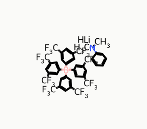 CN(C)c1ccccc1.FC(F)(F)c1cc([B-](c2cc(C(F)(F)F)cc(C(F)(F)F)c2)(c2cc(C(F)(F)F)cc(C(F)(F)F)c2)c2cc(C(F)(F)F)cc(C(F)(F)F)c2)cc(C(F)(F)F)c1.[LiH]